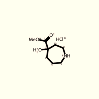 COC(=O)C1(C)CCCNCC1.Cl